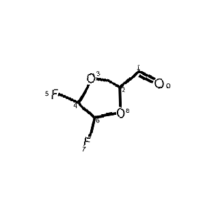 O=CC1OC(F)C(F)O1